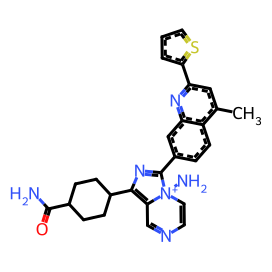 Cc1cc(-c2cccs2)nc2cc(C3=NC(C4CCC(C(N)=O)CC4)=C4C=NC=C[N+]34N)ccc12